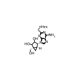 CCCCCCSc1nc(N)c2ncn([C@H]3C(O)C(O)[C@]4(CO)C[C@H]34)c2n1